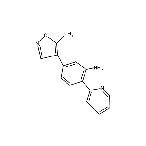 Cc1oncc1-c1ccc(-c2ccccn2)c(N)c1